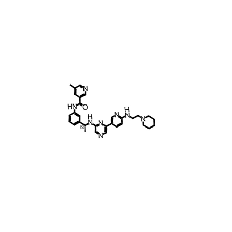 Cc1cncc(C(=O)Nc2cccc([C@H](C)Nc3cncc(-c4ccc(NCCN5CCCCC5)nc4)n3)c2)c1